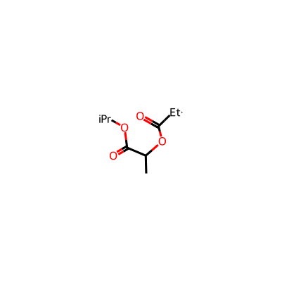 C[CH]C(=O)OC(C)C(=O)OC(C)C